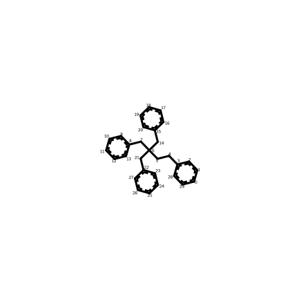 c1ccc(CCC(Cc2ccccc2)(Cc2ccccc2)Cc2ccccc2)cc1